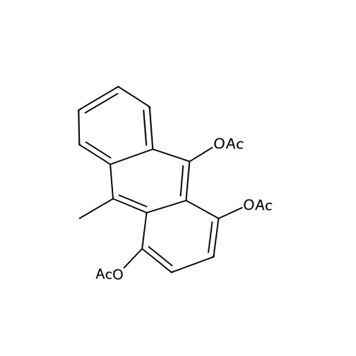 CC(=O)Oc1ccc(OC(C)=O)c2c(OC(C)=O)c3ccccc3c(C)c12